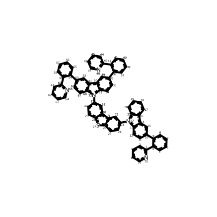 c1ccc(-c2ccccc2-c2ccc3c(c2)c2ccccc2n3-c2ccc3sc4ccc(-n5c6ccc(-c7ccccc7-c7ccccn7)cc6c6cc(-c7ccccc7-c7ccccn7)ccc65)cc4c3c2)nc1